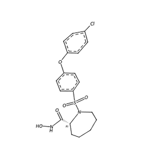 O=C(NO)[C@H]1CCCCCN1S(=O)(=O)c1ccc(Oc2ccc(Cl)cc2)cc1